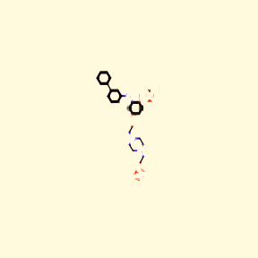 CS(=O)(=O)OCCN1CCN(CCOc2ccc(OS(C)(=O)=O)c(Nc3cc(-c4ccccc4)ccc3C(=O)O)c2)CC1